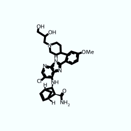 COc1ccc(-c2nc3c(N[C@H]4[C@@H](C(N)=O)[C@@H]5C=C[C@H]4C5)c(Cl)cnc3[nH]2)c(C2CCN(CC(O)CO)CC2)c1